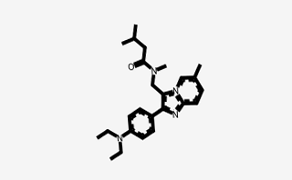 CCN(CC)c1ccc(-c2nc3ccc(C)cn3c2CN(C)C(=O)CC(C)C)cc1